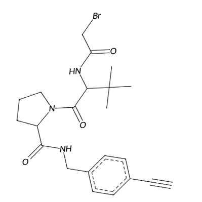 C#Cc1ccc(CNC(=O)C2CCCN2C(=O)C(NC(=O)CBr)C(C)(C)C)cc1